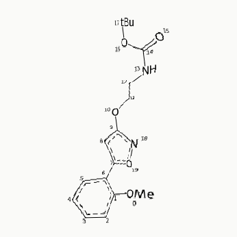 COc1ccccc1-c1cc(OCCNC(=O)OC(C)(C)C)no1